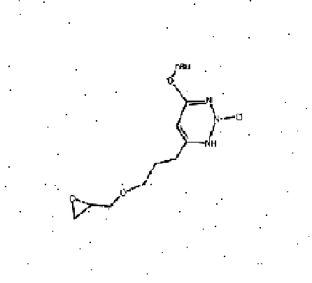 CCCCOC1=NN(Cl)NC(CCCOCC2CO2)=C1